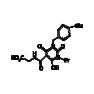 CC(C)n1c(O)c(C(=O)NCC(=O)O)c(=O)n(Cc2ccc(C(C)(C)C)cc2)c1=O